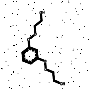 OCCOOc1cccc(OOCCO)c1